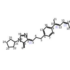 C=c1/c(=C/CCc2ccc(/C(C)=C/C=C\C)cc2)ncn1C1CCCC1